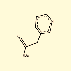 CC(C)(C)C(=O)Cc1cccnc1